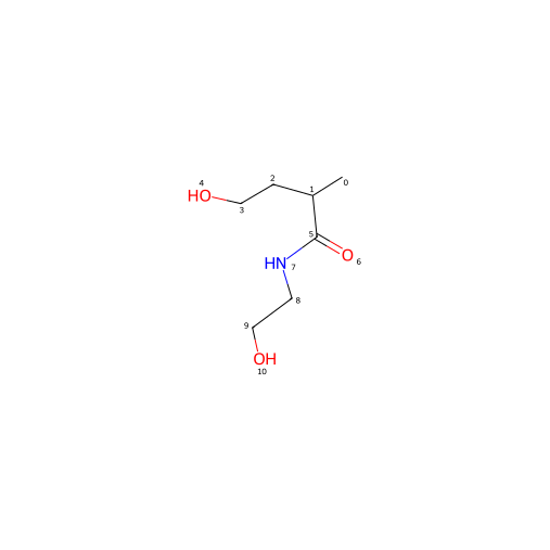 CC(CCO)C(=O)NCCO